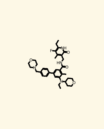 CCc1[nH]c(=O)c(CNC(=O)c2cc(-c3ccc(CN4CCOCC4)cc3)cc(N(CC)C3CCOCC3)c2C)c(C)c1F